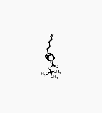 CC(C)(C)OC(=O)N1CC2CC1CN2CCCCBr